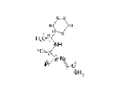 BOC=N[C@@H](C(=O)N[C@@H](C)C1CCCCC1)C(C)C